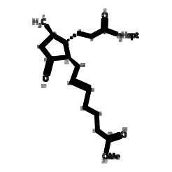 CCCCCCCC(=O)CC[C@H]1[C@H](C)CC(=O)[C@@H]1CC=CCCCC(=O)OC